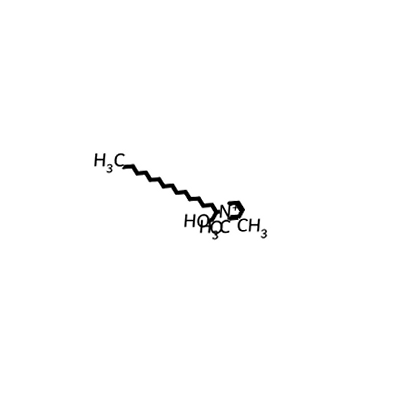 CCCCCCCCCCCCCCCC(C(=O)O)[n+]1cccc(C)c1C